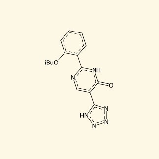 CC(C)COc1ccccc1-c1ncc(-c2nnn[nH]2)c(=O)[nH]1